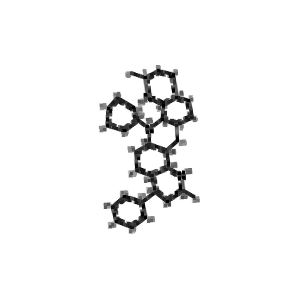 Cc1ccc2ccc3c(c2n1)N(c1ccccc1)c1ccc2c(-c4ccccc4)cc(C)nc2c1C3